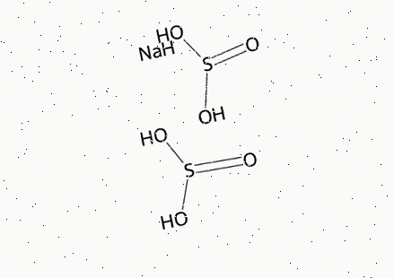 O=S(O)O.O=S(O)O.[NaH]